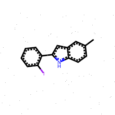 Cc1ccc2[nH]c(-c3ccccc3I)cc2c1